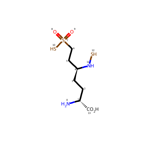 N[C@H](CC[C@@H](CCS(=O)(=O)S)NS)C(=O)O